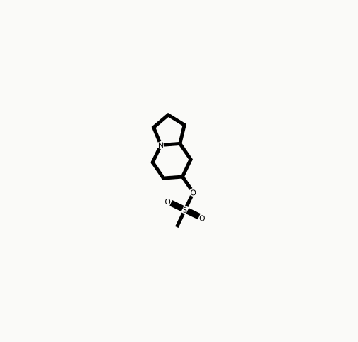 CS(=O)(=O)OC1CCN2CCCC2C1